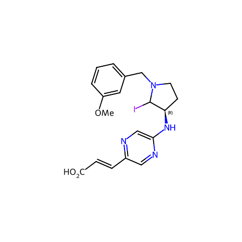 COc1cccc(CN2CC[C@@H](Nc3cnc(C=CC(=O)O)cn3)C2I)c1